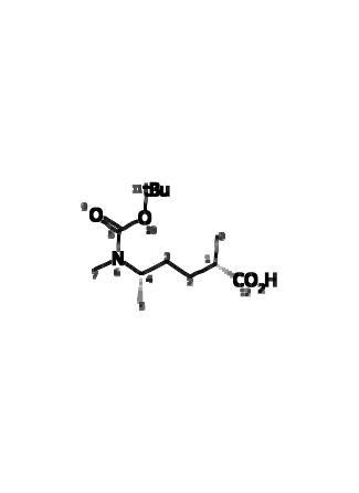 C[C@@H](CC[C@H](C)N(C)C(=O)OC(C)(C)C)C(=O)O